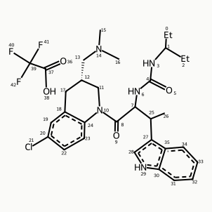 CCC(CC)NC(=O)NC(C(=O)N1C[C@@H](CN(C)C)Cc2cc(Cl)ccc21)C(C)c1c[nH]c2ccccc12.O=C(O)C(F)(F)F